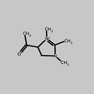 CC(=O)C1CN(C)C(C)=[N+]1C